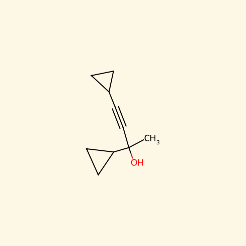 CC(O)(C#CC1CC1)C1CC1